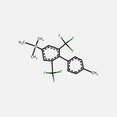 Cc1ccc(-c2c(C(F)(F)F)cc([Si](C)(C)C)cc2C(F)(F)F)cc1